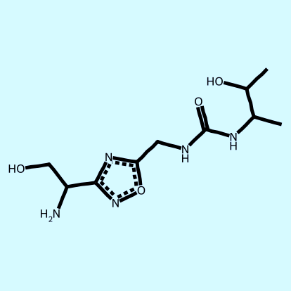 CC(O)C(C)NC(=O)NCc1nc(C(N)CO)no1